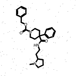 CN1CCCC1CCNC(=O)C1(c2ccccc2)CCN(C(=O)OCc2ccccc2)CC1